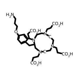 NCCCOc1ccc(CC2CN(CCC(=O)O)CCN(CCC(=O)O)CCN(CCC(=O)O)CCN2CCC(=O)O)cc1